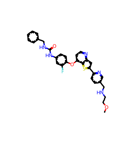 COCCNCc1ccc(-c2cc3nccc(Oc4ccc(NC(=O)NCc5ccccc5)cc4F)c3s2)nc1